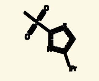 CC(C)c1csc(S(C)(=O)=O)n1